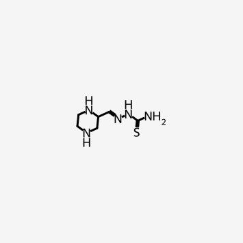 NC(=S)NN=CC1CNCCN1